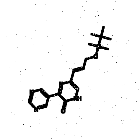 CC(C)(C)[Si](C)(C)OCC=Cc1c[nH]c(=O)c(-c2cncnc2)n1